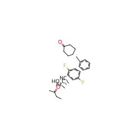 CC#N.CC(=O)O.CC(C)=O.CCC(C)=O.Cc1ccccc1.Fc1ccc(F)cc1.O=C1CCCCC1